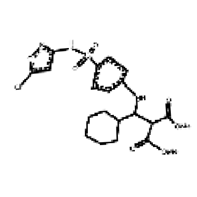 COC(=O)C(C(=O)OC)C(Nc1ccc(S(=O)(=O)Nc2cc(Cl)on2)cc1)C1CCCCC1